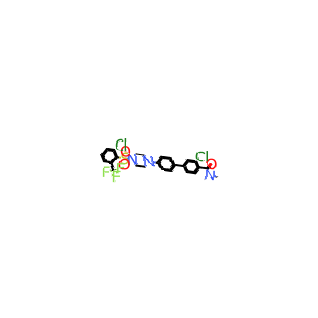 CN(C)C(=O)c1ccc(-c2ccc(N3CCN(S(=O)(=O)c4c(Cl)cccc4C(F)(F)F)CC3)cc2)cc1Cl